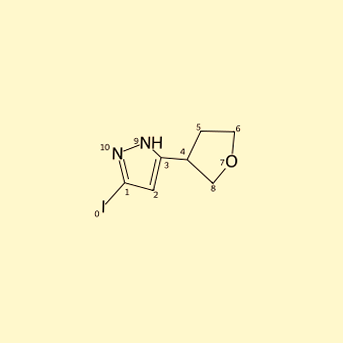 Ic1cc(C2CCOC2)[nH]n1